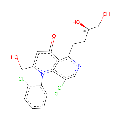 O=c1cc(CO)n(-c2c(Cl)cccc2Cl)c2c(Cl)cnc(CC[C@@H](O)CO)c12